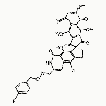 COC1=CC(=O)c2c(O)c3c(c(O)c2C1=O)C(=O)[C@]1(CCc2c1c(O)c1c(=O)[nH]c(/C=N/OCc4ccc(F)cc4)cc1c2Cl)C3=O